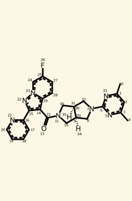 Cc1cc(C)nc(N2C[C@H]3CN(C(=O)c4c(-c5ccccn5)nn5cc(F)ccc45)C[C@H]3C2)n1